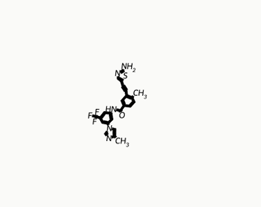 Cc1cn(-c2cc(NC(=O)c3ccc(C)c(C#Cc4cnc(N)s4)c3)cc(C(F)(F)F)c2)cn1